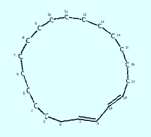 C1=C/CCCCCCCCCCCCCCCC/C=C/1